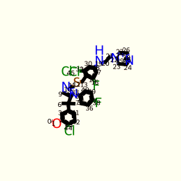 COc1cc(C(C)(C)c2cnc(SCc3c(F)cc(NCC[N+]45CCN(CC4)CC5)cc3Cl)n2-c2ccc(F)cc2)ccc1Cl.[Cl-]